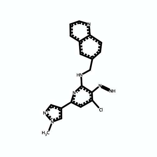 Cn1cc(-c2cc(Cl)c(N=N)c(NCc3ccc4ncccc4c3)n2)cn1